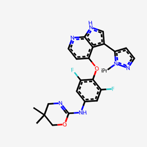 CC(C)n1nccc1-c1c[nH]c2nccc(Oc3c(F)cc(NC4=NCC(C)(C)CO4)cc3F)c12